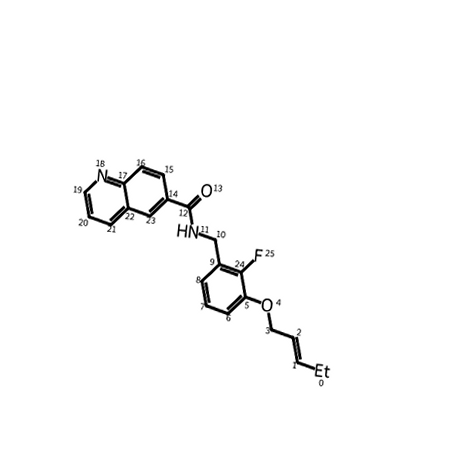 CCC=CCOc1cccc(CNC(=O)c2ccc3ncccc3c2)c1F